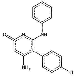 Nc1cc(=O)nc(Nc2ccccc2)n1-c1ccc(Cl)cc1